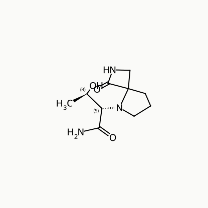 C[C@@H](O)[C@@H](C(N)=O)N1CCCC12CNC2=O